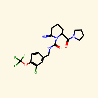 N=C1CCCC(C(=O)N2CCCC2)N1C(=O)NCc1ccc(OC(F)(F)F)c(Cl)c1